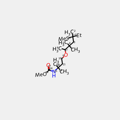 CCC(C)(CC(C)(C)C(C)OCCC(C)(C)NC(=O)OC)SC